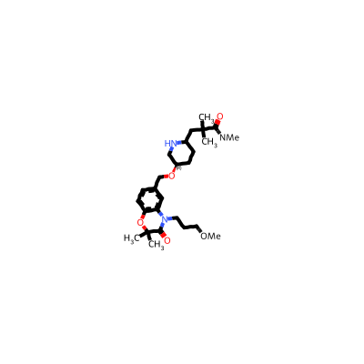 CNC(=O)C(C)(C)CC1CC[C@@H](OCc2ccc3c(c2)N(CCCOC)C(=O)C(C)(C)O3)CN1